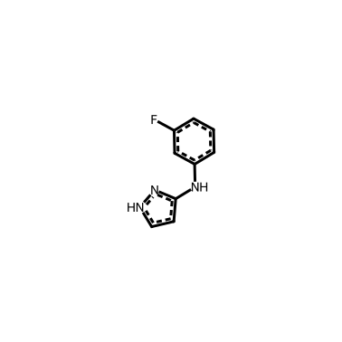 Fc1cccc(Nc2cc[nH]n2)c1